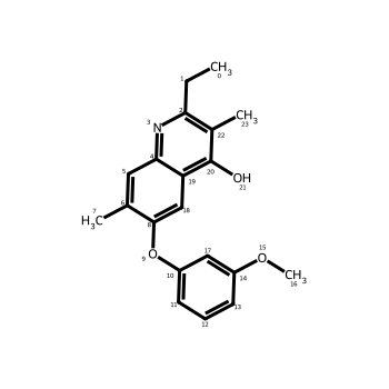 CCc1nc2cc(C)c(Oc3cccc(OC)c3)cc2c(O)c1C